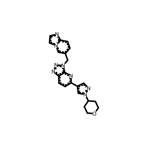 c1cn2cc(Cn3nnc4ccc(-c5cnn(C6CCOCC6)c5)nc43)ccc2n1